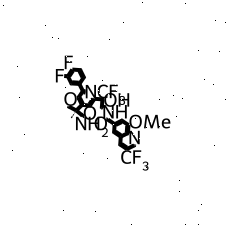 COc1cc(C(=O)NC[C@](O)(c2cc3c(c(-c4ccc(F)c(F)c4)n2)OC[C@]3(C)C(N)=O)C(F)(F)F)cc2cc(C(F)(F)F)cnc12